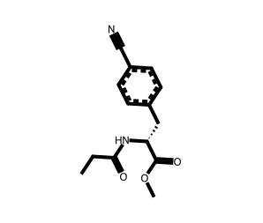 CCC(=O)N[C@H](Cc1ccc(C#N)cc1)C(=O)OC